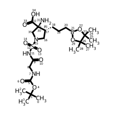 CC(C)(C)OC(=O)NCC(=O)NS(=O)(=O)N1C[C@@H](CCCB2OC(C)(C)C(C)(C)O2)[C@@](N)(C(=O)O)C1